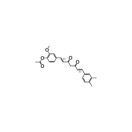 COc1cc(/C=C/C(=O)CC(=O)/C=C/c2ccc(C)c(C)c2)ccc1OC(C)=O